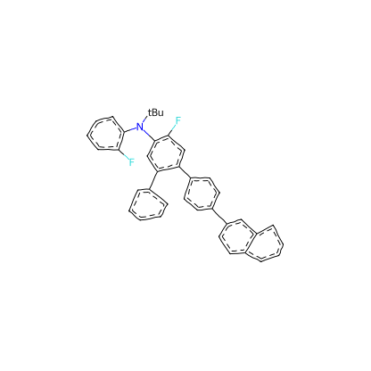 CC(C)(C)N(c1ccccc1F)c1cc(-c2ccccc2)c(-c2ccc(-c3ccc4ccccc4c3)cc2)cc1F